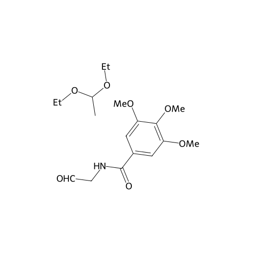 CCOC(C)OCC.COc1cc(C(=O)NCC=O)cc(OC)c1OC